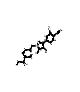 CCC(=O)c1ccc(Cn2nc(-c3ccc(C#N)c(Cl)c3)c(C)c2C)cc1